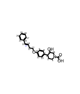 O=C(O)N1CCC(c2ccc(OCC/C=C/c3ccccc3)cc2)C(O)C1